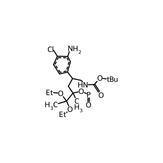 CCOC(C)(OCC)C(C)(CC(CNC(=O)OC(C)(C)C)c1ccc(Cl)c(N)c1)OP=O